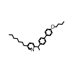 CCCCCCCc1ccc(C(C)c2ccc(-c3ccc(OCCCC)cc3)cc2)nc1